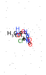 CC(C)NC(=O)c1ccc(Oc2ccc(CN3CCC(N4C(=O)N(C5CCOCC5)C[C@H]4c4cccc(Cl)c4)CC3)cn2)cc1